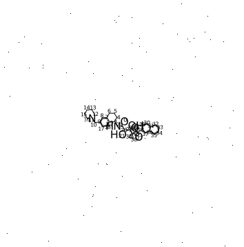 O=C(N[C@@H]1CCCc2cc(CN3CCCCC3)ccc21)C(O)C(O)C1(S(=O)(=O)c2ccc3ccccc3c2)CC1